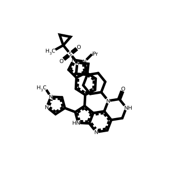 CC(C)n1ncc2cc(-c3c(-c4cnn(C)c4)[nH]c4ncc5c(c34)N(C3CCC4(CC3)CN(S(=O)(=O)C3(C)CC3)C4)C(=O)NC5)ccc21